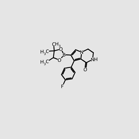 CC1OB(c2cn3c(c2-c2ccc(F)cc2)C(=O)NCC3)OC1(C)C